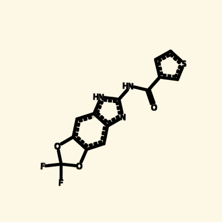 O=C(Nc1nc2cc3c(cc2[nH]1)OC(F)(F)O3)c1ccsc1